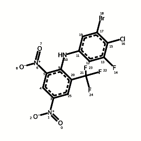 O=[N+]([O-])c1cc([N+](=O)[O-])c(Nc2cc(F)c(Cl)c(Br)c2)c(C(F)(F)F)c1